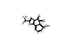 CC(F)c1cc2c(o1)-c1cccc(O)c1C(=O)C2=O